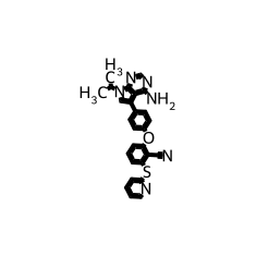 CC(C)n1cc(-c2ccc(Oc3cccc(Sc4ccccn4)c3C#N)cc2)c2c(N)ncnc21